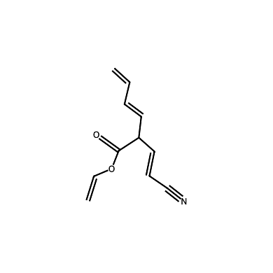 C=CC=CC(C=CC#N)C(=O)OC=C